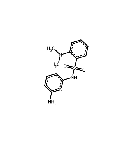 CN(C)c1ccccc1S(=O)(=O)Nc1cccc(N)n1